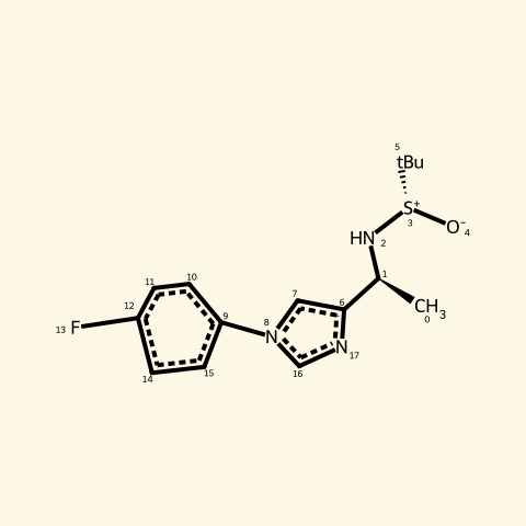 C[C@H](N[S@@+]([O-])C(C)(C)C)c1cn(-c2ccc(F)cc2)cn1